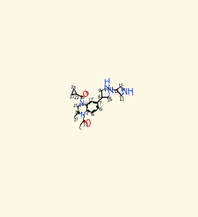 CC(=O)N1c2ccc(C3CNN(C4CNC4)C3)cc2N(C(=O)C2CC2)C[C@@H]1C